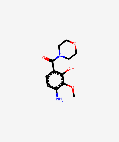 COc1c(N)ccc(C(=O)N2CCOCC2)c1O